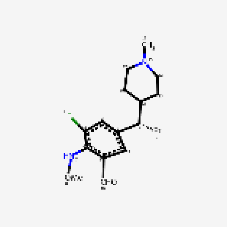 CC[C@H](c1cc(F)c(NOC)c(C=O)c1)C1CCN(C)CC1